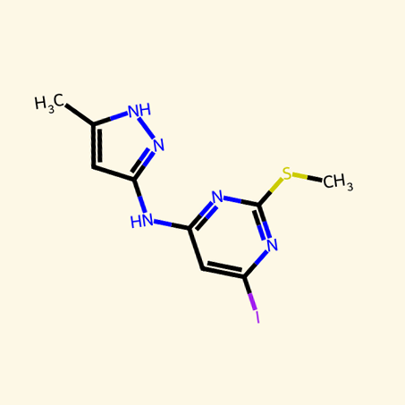 CSc1nc(I)cc(Nc2cc(C)[nH]n2)n1